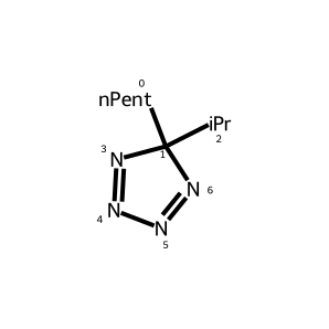 CCCCCC1(C(C)C)N=NN=N1